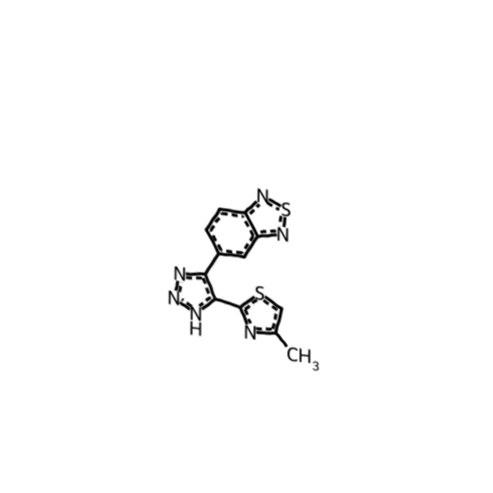 Cc1csc(-c2[nH]nnc2-c2ccc3nsnc3c2)n1